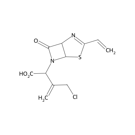 C=CC1=NC2C(=O)N(C(C(=C)CCl)C(=O)O)C2S1